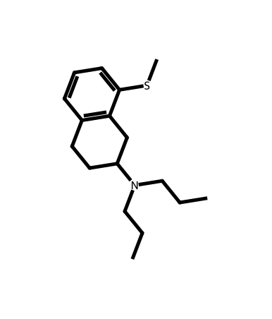 CCCN(CCC)C1CCc2cccc(SC)c2C1